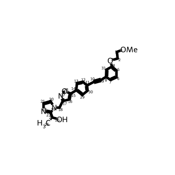 COCCOc1cccc(C#Cc2ccc(-c3cc(Cn4ccnc4[C@H](C)O)no3)cc2)c1